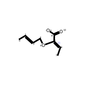 CC=CCO/C(=C\C)C([O])=O